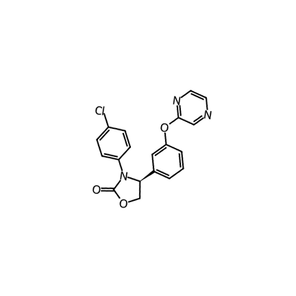 O=C1OC[C@H](c2cccc(Oc3cnccn3)c2)N1c1ccc(Cl)cc1